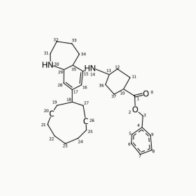 O=C(OCc1ccccc1)C1CCC(NC2=CC(C3CCCCCCCCC3)=CC3NCCCCC23)CC1